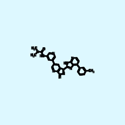 Cc1cccc(-c2ccnc3[nH]c(-c4n[nH]c5ncc(-c6cncc(NC(=O)N(C)C)c6)cc45)nc23)c1